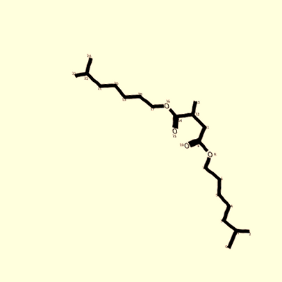 CC(C)CCCCCOC(=O)CC(C)C(=O)OCCCCCC(C)C